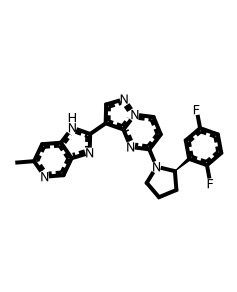 Cc1cc2[nH]c(-c3cnn4ccc(N5CCC[C@@H]5c5cc(F)ccc5F)nc34)nc2cn1